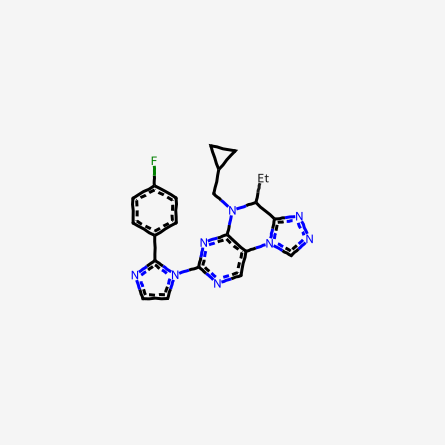 CCC1c2nncn2-c2cnc(-n3ccnc3-c3ccc(F)cc3)nc2N1CC1CC1